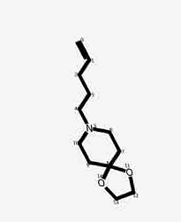 C=CCCCN1CCC2(CC1)OCCO2